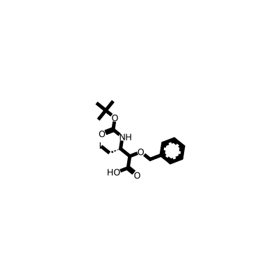 CC(C)(C)OC(=O)N[C@@H](CI)C(OCc1ccccc1)C(=O)O